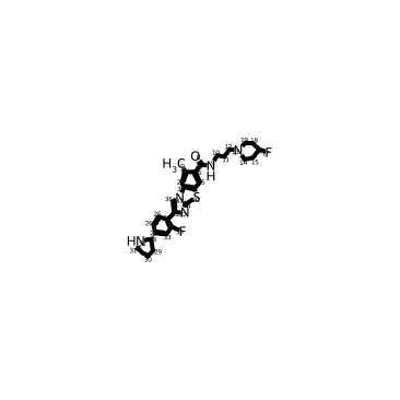 Cc1cc2c(cc1C(=O)NCCCN1CCC(F)CC1)sc1nc(-c3ccc([C@@H]4CCCN4)cc3F)cn12